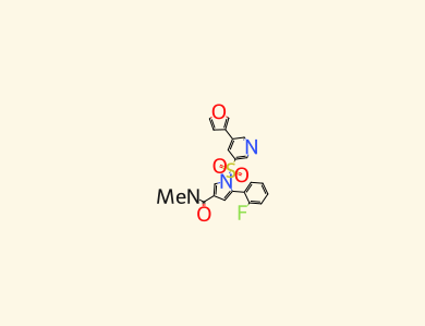 CNC(=O)c1cc(-c2ccccc2F)n(S(=O)(=O)c2cncc(-c3ccoc3)c2)c1